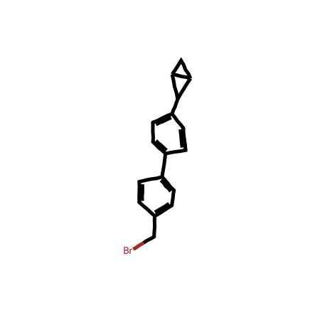 BrCc1ccc(-c2ccc(C3C4CC43)cc2)cc1